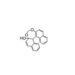 OC12C=Cc3ccccc3C1c1c(ccc3ccccc13)OCO2